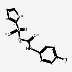 O=C(Nc1ccc(Cl)cc1)NS(=O)(=O)c1cccs1